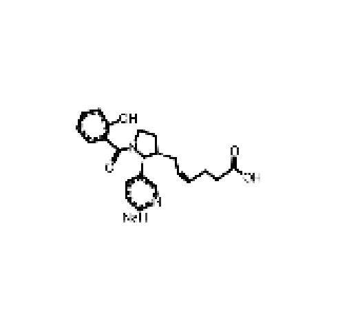 O=C(O)CC/C=C\C[C@@H]1CCN(C(=O)c2ccccc2O)[C@@H]1c1cccnc1.[NaH]